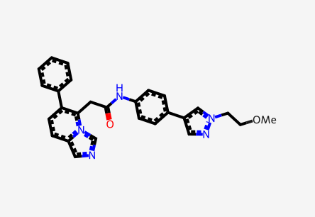 COCCn1cc(-c2ccc(NC(=O)Cc3c(-c4ccccc4)ccc4cncn34)cc2)cn1